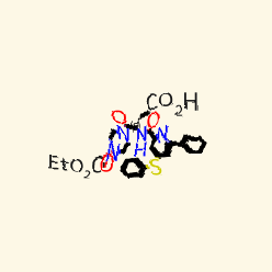 CCOC(=O)ON1CCN(C(=O)[C@H](CCC(=O)O)NC(=O)c2cc(Sc3ccccc3)cc(-c3ccccc3)n2)CC1